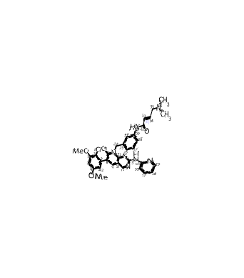 COc1cc(OC)c(Cl)c(-c2cc3cnc(Nc4ccccn4)nc3n(Cc3cccc(NC(=O)/C=C/CN(C)C)c3)c2=O)c1